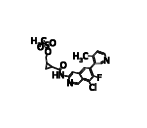 Cc1ccncc1-c1cc2cc(NC(=O)C3CC3COS(C)(=O)=O)ncc2c(Cl)c1F